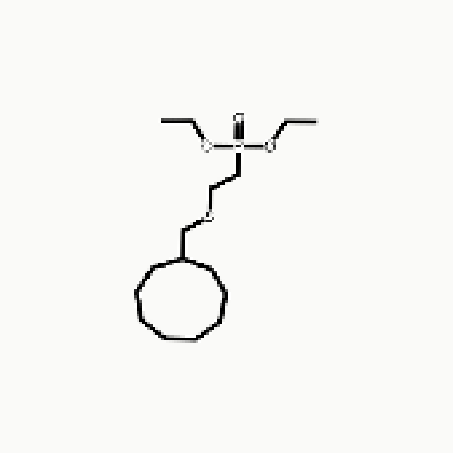 CCOP(=O)(CCSCC1CCCCCCCC1)OCC